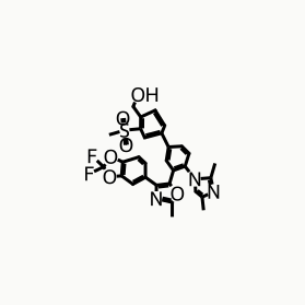 Cc1cn(-c2ccc(-c3ccc(CO)c(S(C)(=O)=O)c3)cc2-c2oc(C)nc2-c2ccc3c(c2)OC(F)(F)O3)c(C)n1